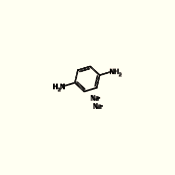 Nc1ccc(N)cc1.[Na].[Na]